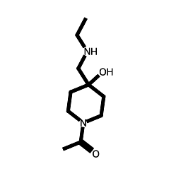 CCNCC1(O)CCN(C(C)=O)CC1